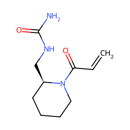 C=CC(=O)N1CCCC[C@H]1CNC(N)=O